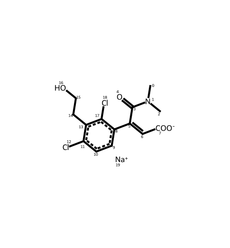 CN(C)C(=O)C(=CC(=O)[O-])c1ccc(Cl)c(CCO)c1Cl.[Na+]